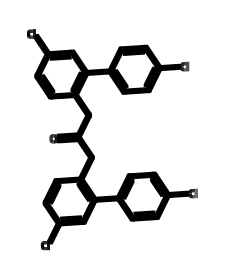 O=C(Cc1ccc(Cl)cc1-c1ccc(Cl)cc1)Cc1ccc(Cl)cc1-c1ccc(Cl)cc1